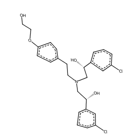 OCCOc1ccc(CCN(C[C@H](O)c2cccc(Cl)c2)C[C@H](O)c2cccc(Cl)c2)cc1